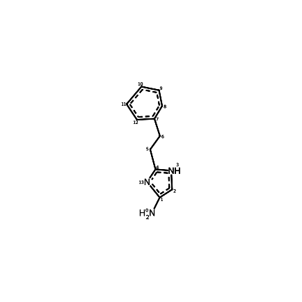 Nc1c[nH]c(CCc2ccccc2)n1